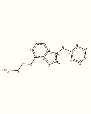 O=C(O)CCCc1cccc2c1cnn2Cc1ccccc1